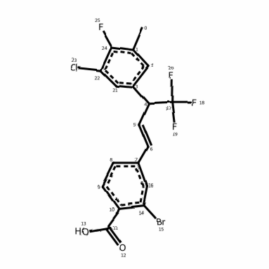 Cc1cc(C(/C=C/c2ccc(C(=O)O)c(Br)c2)C(F)(F)F)cc(Cl)c1F